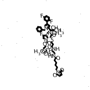 CC(C)(C)[C@H](c1cc(-c2cc(F)ccc2F)cn1Cc1ccccc1)N(C[C@@H]1CN(C(=O)OCC[Si](C)(C)C)C[C@@H]1F)C(=O)CSCCC(=O)NCCNC(=O)CCCCCN1C(=O)C=CC1=O